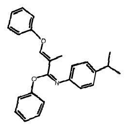 CC(=C\Oc1ccccc1)/C(=N\c1ccc(C(C)C)cc1)Oc1ccccc1